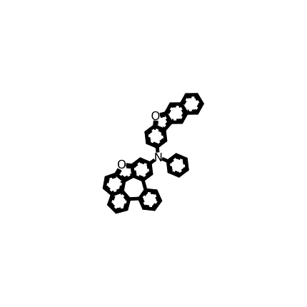 c1ccc(N(c2cc3c4c(c2)oc2ccc5cccc(c5c24)-c2ccccc2-3)c2ccc3oc4cc5ccccc5cc4c3c2)cc1